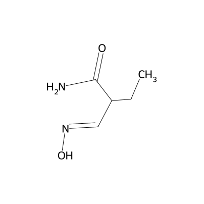 CCC(C=NO)C(N)=O